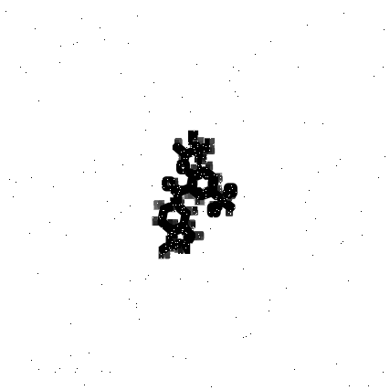 CC(Oc1ccc(S(C)(=O)=O)cc1C(=O)N1CCc2c(cnn2C)C1)C(F)(F)F